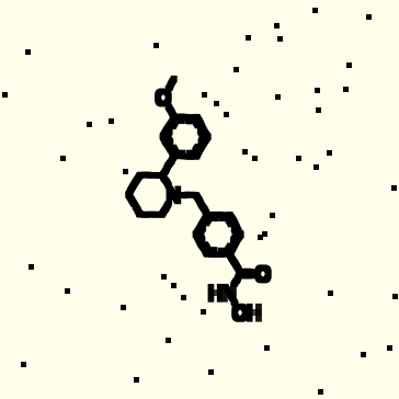 COc1cccc(C2CCCCN2Cc2ccc(C(=O)NO)cc2)c1